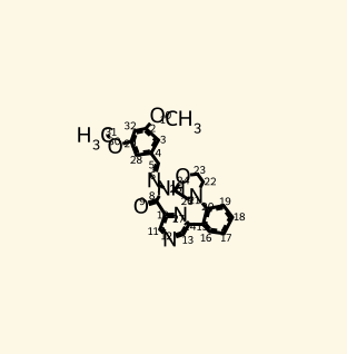 COc1cc(C=NNC(=O)c2cncc(-c3ccccc3N3CCOCC3)n2)cc(OC)c1